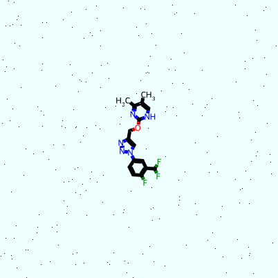 CC1=CNC(OCc2cn(-c3ccc(F)c(C(F)F)c3)nn2)N=C1C